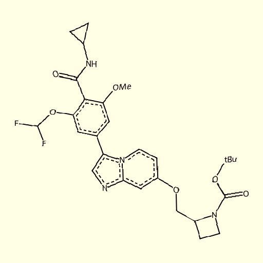 COc1cc(-c2cnc3cc(OCC4CCN4C(=O)OC(C)(C)C)ccn23)cc(OC(F)F)c1C(=O)NC1CC1